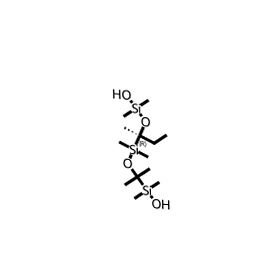 CC[C@](C)(O[Si](C)(C)O)[Si](C)(C)OC(C)(C)[Si](C)(C)O